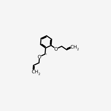 C=CCO[C]c1ccccc1OCC=C